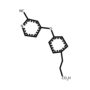 N#Cc1cc(Oc2ccc(CCC(=O)O)cc2)ccn1